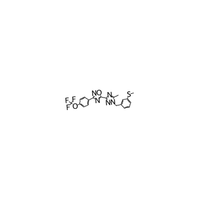 CSc1cccc(Cn2nc(-c3nc(-c4ccc(OC(F)(F)F)cc4)no3)nc2C)c1